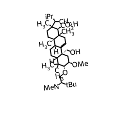 CN[C@@H](CO[C@H]1[C@H](OC)C[C@]2(CO)C3=CC[C@@]4(C)[C@H](C(=O)O)[C@@](C)([C@H](C)C(C)C)CC[C@]4(C)[C@H]3CC[C@H]2C1(C)C)C(C)(C)C